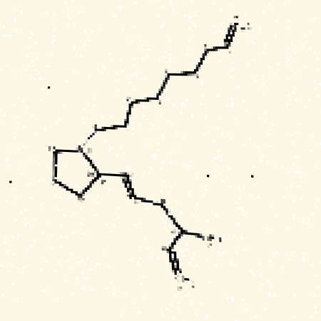 C=CCCCCCCC[C@H]1CCC[C@@H]1C=CCC(C=C)CCCC